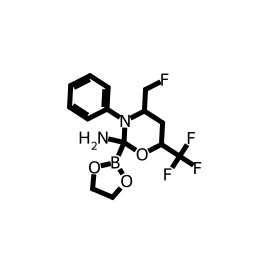 NC1(B2OCCO2)OC(C(F)(F)F)CC(CF)N1c1ccccc1